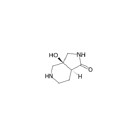 O=C1NC[C@@]2(O)CNCC[C@H]12